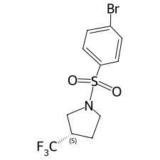 O=S(=O)(c1ccc(Br)cc1)N1CC[C@H](C(F)(F)F)C1